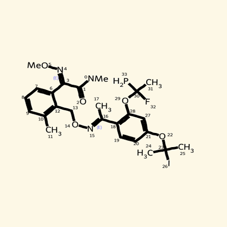 CNC(=O)/C(=N/OC)c1cccc(C)c1CO/N=C(\C)c1ccc(OC(C)(C)I)cc1OC(C)(F)P